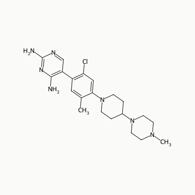 Cc1cc(-c2cnc(N)nc2N)c(Cl)cc1N1CCC(N2CCN(C)CC2)CC1